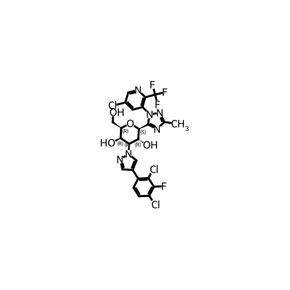 Cc1nc([C@@H]2O[C@H](CO)[C@H](O)[C@H](n3cc(-c4ccc(Cl)c(F)c4Cl)cn3)[C@H]2O)n(-c2cc(Cl)cnc2C(F)(F)F)n1